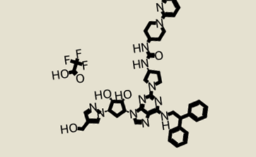 O=C(NC1CCN(c2ccccn2)CC1)N[C@@H]1CCN(c2nc(NCC(c3ccccc3)c3ccccc3)c3ncn([C@@H]4C[C@H](n5cc(CO)cn5)[C@@H](O)[C@H]4O)c3n2)C1.O=C(O)C(F)(F)F